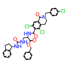 O=C(NCC(NC(=O)c1c(Cl)cc2c(c1Cl)CCN(Cc1ccc(Cl)cc1)C2=O)C(=O)OCc1ccccc1)N[C@@H]1CCc2ccccc21